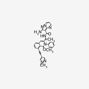 Cc1ccccc1-n1c([C@@H](C)NC(=O)c2c(N)nn3cccnc23)cc2cccc(C#Cc3cnn(C)c3)c2c1=O